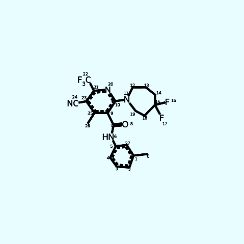 Cc1cccc(NC(=O)c2c(N3CCCC(F)(F)CC3)nc(C(F)(F)F)c(C#N)c2C)c1